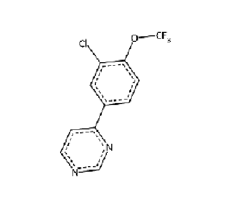 FC(F)(F)Oc1ccc(-c2ccncn2)cc1Cl